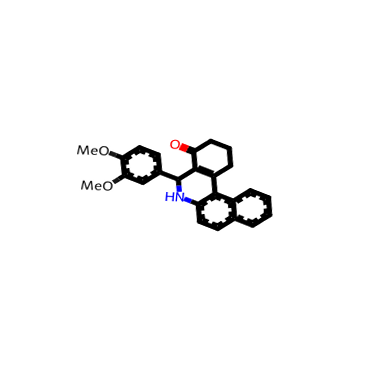 COc1ccc(C2Nc3ccc4ccccc4c3C3=C2C(=O)CCC3)cc1OC